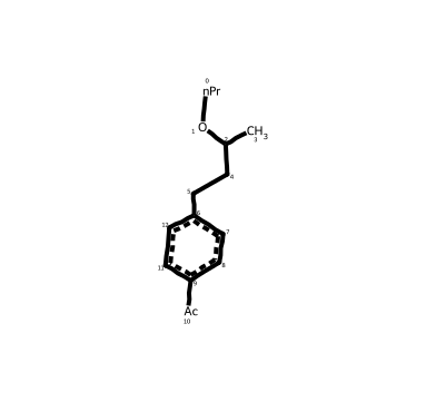 CCCOC(C)CCc1ccc(C(C)=O)cc1